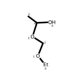 CCOCOC(C)O